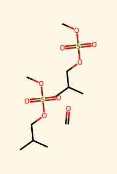 C=O.COS(=O)(=O)OCC(C)C.COS(=O)(=O)OCC(C)C